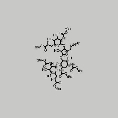 CC(C)(C)OC(=O)NCC1O[C@H](O[C@@H]2C(NC(=O)OC(C)(C)C)C[C@@H](NC(=O)OC(C)(C)C)[C@@H](O)C2O[C@@H]2O[C@H](CN=[N+]=[N-])C(OC3O[C@@H](CNC(=O)OC(C)(C)C)C(O)C(O)[C@H]3NC(=O)OC(C)(C)C)C2O)C(NC(=O)OC(C)(C)C)C(O)[C@@H]1O